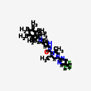 Bc1c(B)c(B)c(C(B)(B)N2CC3(CC(NC(=O)N4[C@H](C)CN(c5ncc(C(F)(F)F)cn5)C[C@@H]4C)C3)C2)c(B)c1B